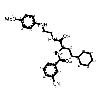 COc1ccc(NCCNC(=O)C(CCC2CCCCC2)NC(=O)c2cccc(C#N)c2)cc1